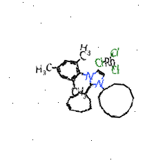 Cc1cc(C)c(N2C=CN(C3CCCCCCCCCCC3)C2=C2C=CC=CCCC2)c(C)c1.[Cl][Rh]([Cl])[Cl]